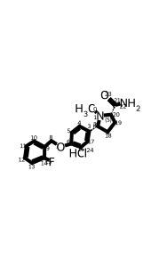 CN1[C@@H](c2ccc(OCc3ccccc3F)cc2)CC[C@H]1C(N)=O.Cl